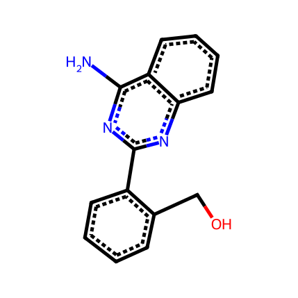 Nc1nc(-c2ccccc2CO)nc2ccccc12